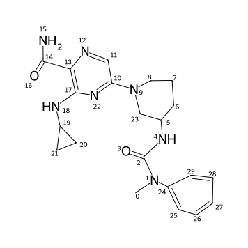 CN(C(=O)NC1CCCN(c2cnc(C(N)=O)c(NC3CC3)n2)C1)c1ccccc1